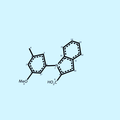 COc1cc(C)cc(-n2c(C(=O)O)cc3ccccc32)c1